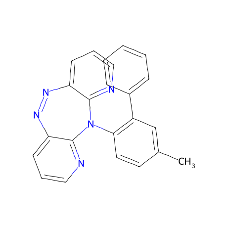 Cc1ccc(N2c3ncccc3N=Nc3cccnc32)c(-c2ccccc2)c1